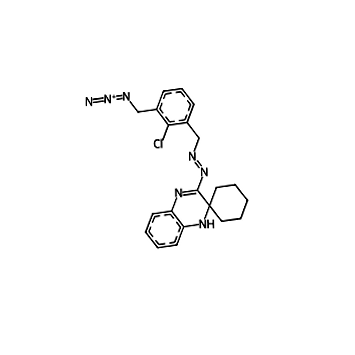 [N-]=[N+]=NCc1cccc(CN=NC2=Nc3ccccc3NC23CCCCC3)c1Cl